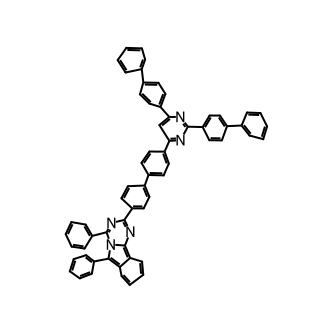 c1ccc(-c2ccc(-c3cc(-c4ccc(-c5ccc(-c6nc(-c7ccccc7)n7c(-c8ccccc8)c8ccccc8c7n6)cc5)cc4)nc(-c4ccc(-c5ccccc5)cc4)n3)cc2)cc1